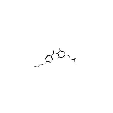 CCCOc1ccc(C(=O)c2c(O)cc(COC(C)=O)cc2F)cc1